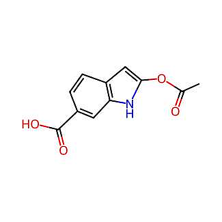 CC(=O)Oc1cc2ccc(C(=O)O)cc2[nH]1